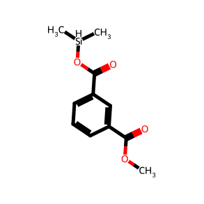 COC(=O)c1cccc(C(=O)O[SiH](C)C)c1